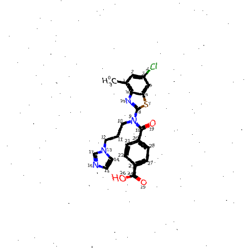 Cc1cc(Cl)cc2sc(N(CCCn3ccnc3)C(=O)c3ccc(C(=O)O)cc3)nc12